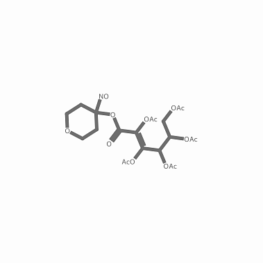 CC(=O)OCC(OC(C)=O)C(OC(C)=O)/C(OC(C)=O)=C(\OC(C)=O)C(=O)OC1(N=O)CCOCC1